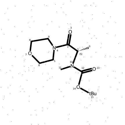 C[C@@H](C(=O)N1CCOCC1)N(C)C(=O)OC(C)(C)C